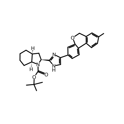 Cc1ccc2c(c1)COc1cc(-c3c[nH]c([C@@H]4C[C@@H]5CCCC[C@@H]5N4C(=O)OC(C)(C)C)n3)ccc1-2